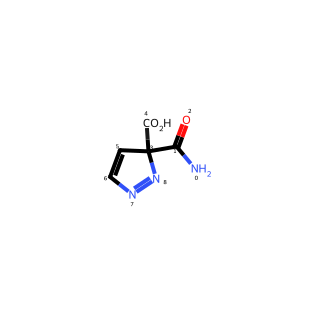 NC(=O)C1(C(=O)O)C=CN=N1